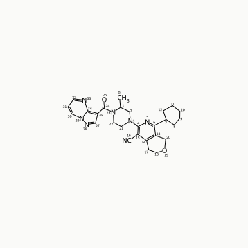 CC1CN(c2nc(C3CCCCC3)c3c(c2C#N)CCOC3)CCN1C(=O)c1cnn2cccnc12